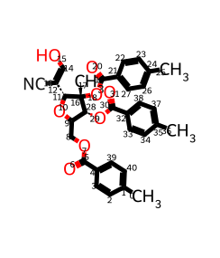 Cc1ccc(C(=O)OCC2O[C@H](/C(C#N)=C/O)[C@](C)(OC(=O)c3ccc(C)cc3)[C@@H]2OC(=O)c2ccc(C)cc2)cc1